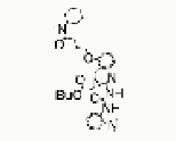 CC(C)COC(=O)CN1Cc2c(cccc2OCCCC(=O)N(C)C2CCCCC2)N=C1NC(=O)Nc1ccccc1N(C)C